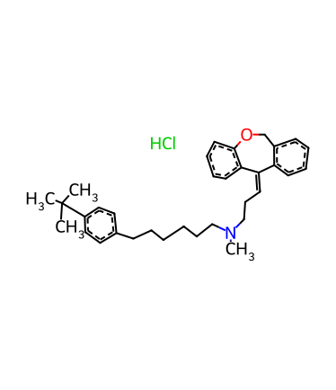 CN(CCC=C1c2ccccc2COc2ccccc21)CCCCCCc1ccc(C(C)(C)C)cc1.Cl